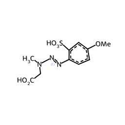 COc1ccc(/N=N/N(C)CC(=O)O)c(S(=O)(=O)O)c1